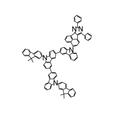 CC1(C)c2ccccc2-c2ccc(-n3c4ccccc4c4cc(-c5ccc6c(c5)c5cc(-c7ccc8c(c7)c7ccccc7n8-c7ccc8c9c(cccc79)-c7nc(-c9ccccc9)nc(-c9ccccc9)c7-8)ccc5n6-c5ccc6c(c5)C(C)(C)c5ccccc5-6)ccc43)cc21